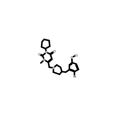 CCOc1ccc(Br)c(CC2CCN(Cc3cc(=O)n(C4CCCCC4)c(=O)n3C)CC2)c1